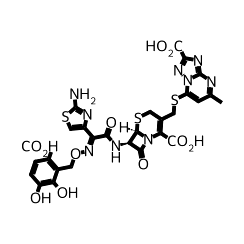 Cc1cc(SCC2=C(C(=O)O)N3C(=O)[C@@H](NC(=O)C(=NOCc4c(C(=O)O)ccc(O)c4O)c4csc(N)n4)[C@H]3SC2)n2nc(C(=O)O)nc2n1